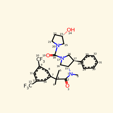 CN(C(=O)C(C)(C)c1cc(C(F)(F)F)cc(C(F)(F)F)c1)[C@@H]1CN(C(=O)N2CC[C@H](O)C2)C[C@H]1c1ccccc1